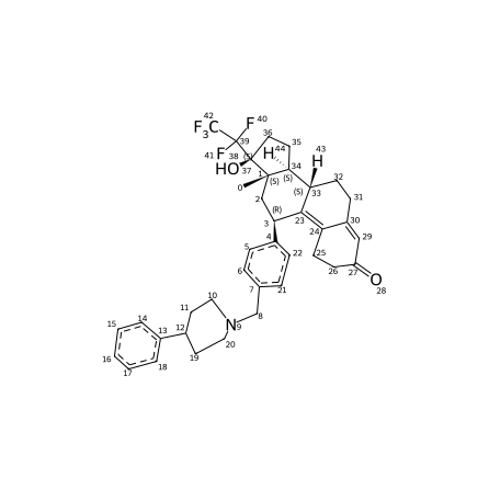 C[C@]12C[C@H](c3ccc(CN4CCC(c5ccccc5)CC4)cc3)C3=C4CCC(=O)C=C4CC[C@H]3[C@@H]1CC[C@@]2(O)C(F)(F)C(F)(F)F